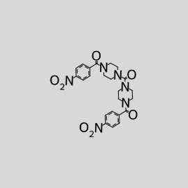 O=C(c1ccc([N+](=O)[O-])cc1)N1CCN(C(=O)N2CCN(C(=O)c3ccc([N+](=O)[O-])cc3)CC2)CC1